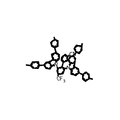 Cc1ccc(-c2ccc3c(c2)c2cc(-c4ccc(C)cc4)ccc2n3-c2cc(C(F)(F)F)cc(-n3c4ccc(-c5ccc(C)cc5)cc4c4cc(-c5ccc(C)cc5)ccc43)c2-c2cccc(C#N)c2)cc1